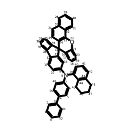 c1ccc(-c2ccc(N(c3ccc4c(c3)C3(c5ccccc5Oc5c3ccc3ccccc53)c3ccccc3-4)c3cccc4c3CCCC4)cc2)cc1